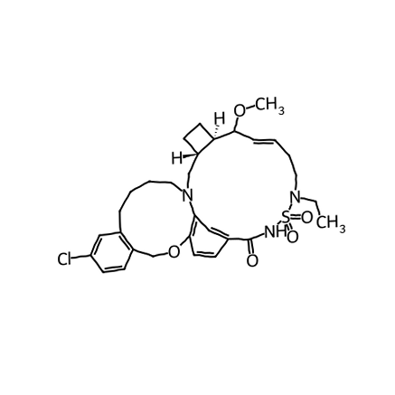 CCN1CC/C=C/C(OC)[C@@H]2CC[C@H]2CN2CCCCc3cc(Cl)ccc3COc3ccc(cc32)C(=O)NS1(=O)=O